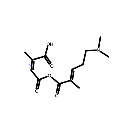 CC(=CCCN(C)C)C(=O)OC(=O)/C=C(/C)C(=O)O